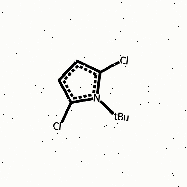 CC(C)(C)n1c(Cl)ccc1Cl